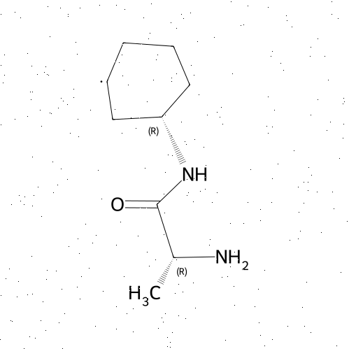 C[C@@H](N)C(=O)N[C@@H]1C[CH]CCC1